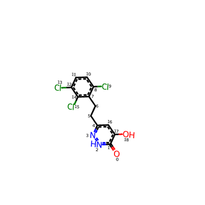 O=c1[nH]nc(CCc2c(Cl)ccc(Cl)c2Cl)cc1O